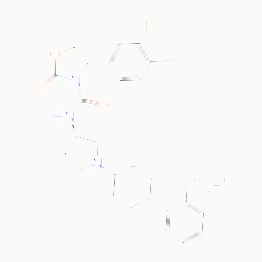 CCOC(=O)c1ccccc1C1CCC(N2CC[C@@H](NC(=O)N3C(=O)OC[C@@H]3c3ccc(F)c(F)c3)C2)CC1